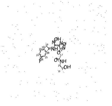 C[C@@H](O)CNC(=O)COc1nonc1/C(=N\O)N[C@H]1Cc2ccc(F)cc21